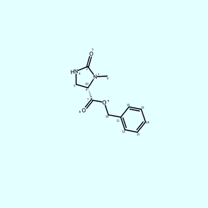 CN1C(=O)NC[C@H]1C(=O)OCc1ccccc1